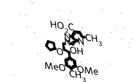 COc1cc(C(O)C(Cn2cc3nc(C)cc(C(=O)O)c3n2)OC2CCCC2)cc(OC)c1C